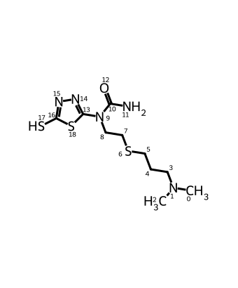 CN(C)CCCSCCN(C(N)=O)c1nnc(S)s1